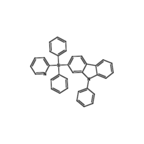 c1ccc(-n2c3ccccc3c3ccc([Si](c4ccccc4)(c4ccccc4)c4ccccn4)cc32)cc1